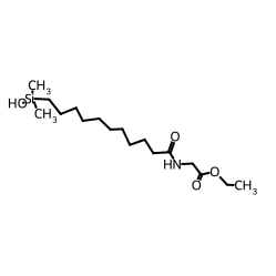 CCOC(=O)CNC(=O)CCCCCCCCCC[Si](C)(C)O